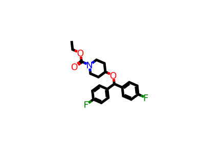 CCOC(=O)N1CCC(OC(c2ccc(F)cc2)c2ccc(F)cc2)CC1